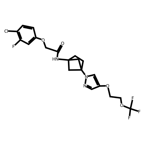 O=C(COc1ccc(Cl)c(F)c1)NC12CCC(n3cc(OCCOC(F)(F)F)cn3)(C1)C2